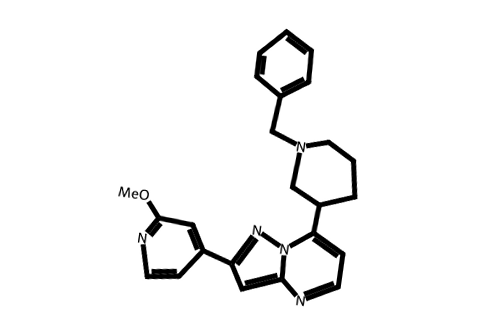 COc1cc(-c2cc3nccc(C4CCCN(Cc5ccccc5)C4)n3n2)ccn1